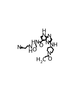 C=CC(=O)N1CCC(Nc2cnc3[nH]cc(C(=O)N[C@H](C=O)CNCCC#N)c3n2)CC1